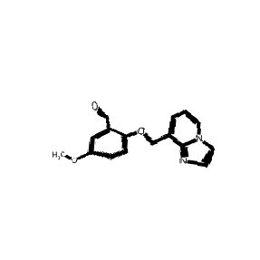 COC1C=C(C=O)C(OCc2cccn3ccnc23)=CC1